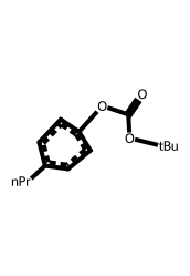 CCCc1ccc(OC(=O)OC(C)(C)C)cc1